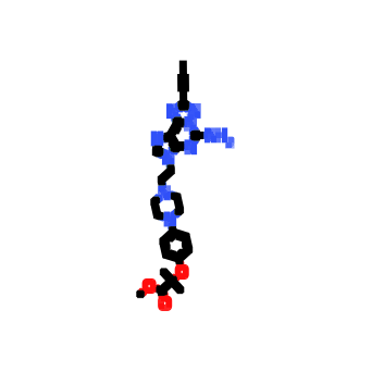 CC#Cc1nc2c3ncn(CCN4CCN(c5ccc(OC(C)(C)C(=O)OC)cc5)CC4)c3nc(N)n2n1